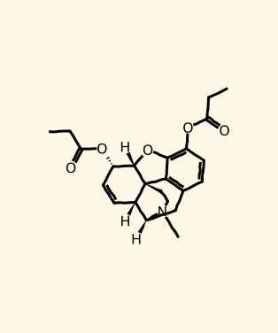 CCC(=O)Oc1ccc2c3c1O[C@H]1[C@@H](OC(=O)CC)C=C[C@H]4[C@@H](C2)N(C)CC[C@@]341